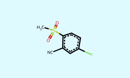 CS(=O)(=O)c1ccc(F)cc1C#N